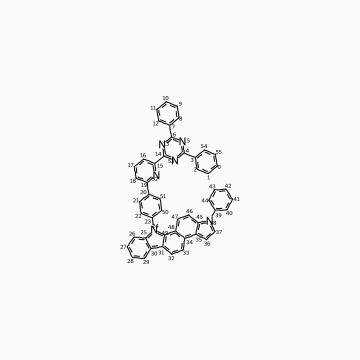 c1ccc(-c2nc(-c3ccccc3)nc(-c3cccc(-c4ccc(-n5c6ccccc6c6ccc7c8ccn(-c9ccccc9)c8ccc7c65)cc4)n3)n2)cc1